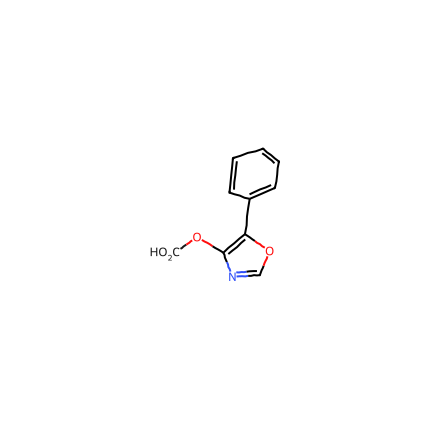 O=C(O)Oc1ncoc1-c1ccccc1